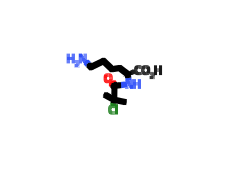 CC(C)(Cl)C(=O)N[C@@H](CCCCN)C(=O)O